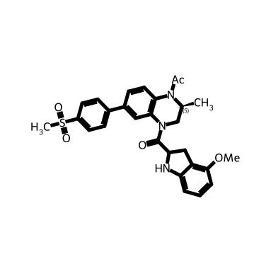 COc1cccc2c1CC(C(=O)N1C[C@H](C)N(C(C)=O)c3ccc(-c4ccc(S(C)(=O)=O)cc4)cc31)N2